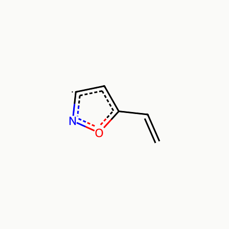 C=Cc1c[c]no1